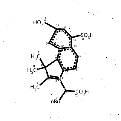 CCCCC(C(=O)O)[N+]1=C(C)C(C)(C)c2c1ccc1c(S(=O)(=O)O)cc(S(=O)(=O)O)cc21